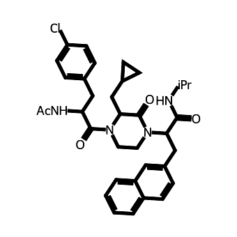 CC(=O)NC(Cc1ccc(Cl)cc1)C(=O)N1CCN(C(Cc2ccc3ccccc3c2)C(=O)NC(C)C)C(=O)C1CC1CC1